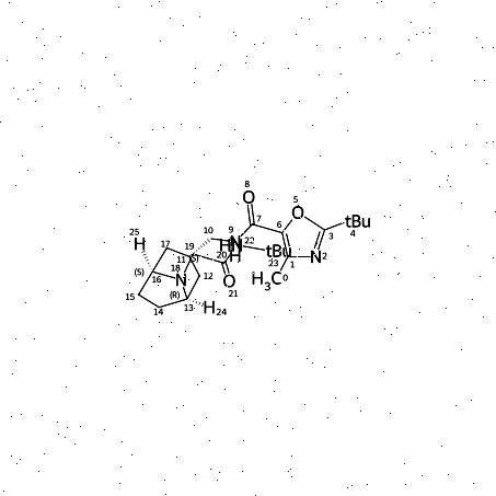 Cc1nc(C(C)(C)C)oc1C(=O)NC[C@@H]1C[C@H]2CC[C@@H](C1)N2CC(=O)NC(C)(C)C